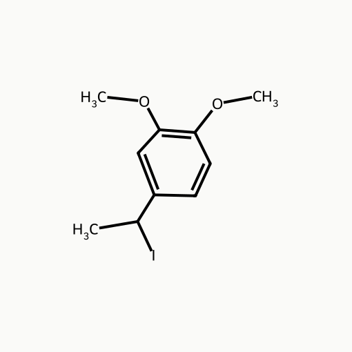 COc1ccc(C(C)I)cc1OC